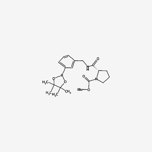 CC(C)(C)OC(=O)N1CCC[C@H]1C(=O)NCc1cccc(B2OC(C)(C)C(C)(C)O2)c1